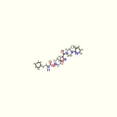 O=C(NCCc1ccccc1)ON1CCC2(CC1)CC(C(=O)N1CCN(c3ncccc3Cl)CC1)=NO2